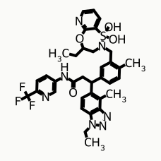 CCC1CN(Cc2cc(C(CC(=O)Nc3ccc(C(F)(F)F)nc3)c3ccc4c(nnn4CC)c3C)ccc2C)S(O)(O)c2cccnc2O1